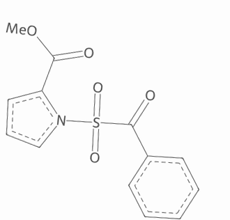 COC(=O)c1cccn1S(=O)(=O)C(=O)c1ccccc1